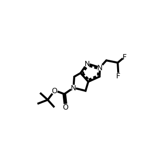 CC(C)(C)OC(=O)N1Cc2cn(CC(F)F)nc2C1